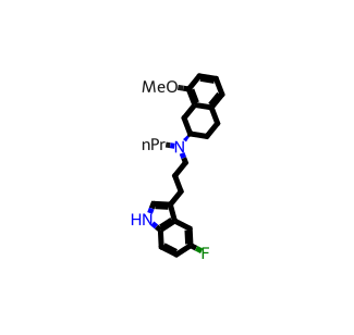 CCCN(CCCc1c[nH]c2ccc(F)cc12)[C@@H]1CCc2cccc(OC)c2C1